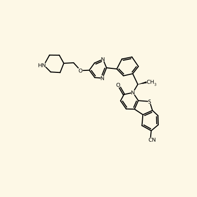 C[C@H](c1cccc(-c2ncc(OCC3CCNCC3)cn2)c1)n1c(=O)ccc2c3cc(C#N)ccc3sc21